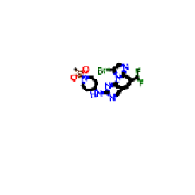 CS(=O)(=O)N1CCC(Nc2ncc3cc(C(F)F)c4ncc(Br)n4c3n2)CC1